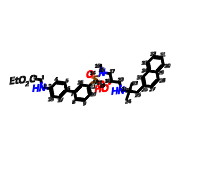 CCOC(=O)CNc1ccc(-c2cccc(S(=O)(=O)N(C)C[C@H](O)CNC(C)(C)Cc3ccc4ccccc4c3)c2)cc1